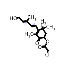 CC1=C(/C=C/C(C)=C/CO)C(C)(C)CC(OC(=O)CCl)C1=O